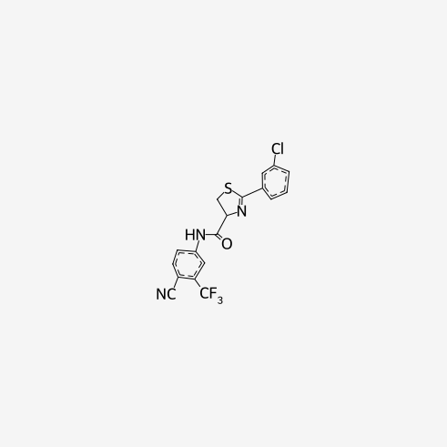 N#Cc1ccc(NC(=O)C2CSC(c3cccc(Cl)c3)=N2)cc1C(F)(F)F